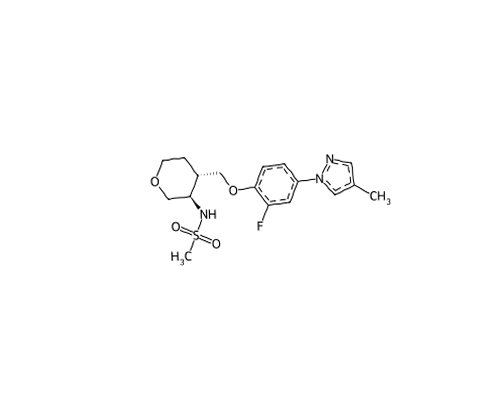 Cc1cnn(-c2ccc(OC[C@H]3CCOC[C@@H]3NS(C)(=O)=O)c(F)c2)c1